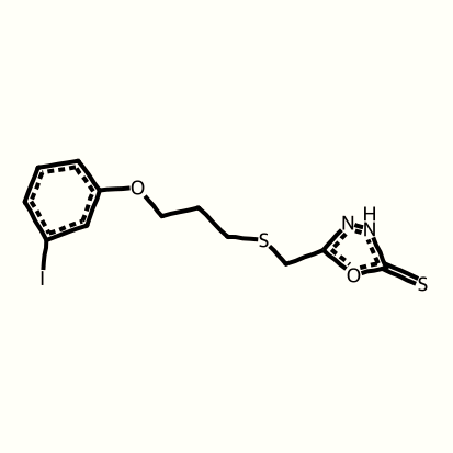 S=c1[nH]nc(CSCCCOc2cccc(I)c2)o1